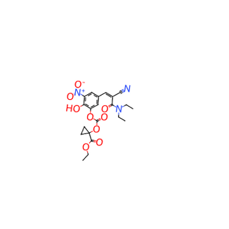 CCOC(=O)C1(OC(=O)Oc2cc(C=C(C#N)C(=O)N(CC)CC)cc([N+](=O)[O-])c2O)CC1